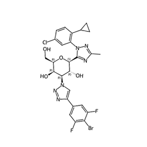 Cc1nc([C@@H]2O[C@H](CO)[C@H](O)[C@H](n3cc(-c4cc(F)c(Br)c(F)c4)nn3)[C@H]2O)n(-c2cc(Cl)ccc2C2CC2)n1